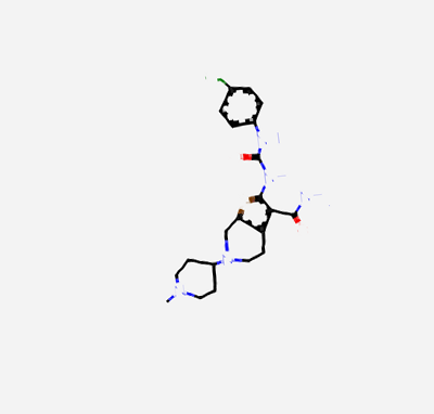 CN1CCC(N2CCc3c(sc(NC(=O)Nc4ccc(Cl)cc4)c3C(N)=O)C2)CC1